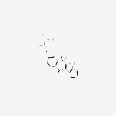 CC1(C)c2cc(OCC(I)[C@H](O)CO)ccc2C(=O)c2c1[nH]c1ccc(F)cc21